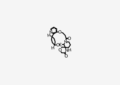 O=C1COCC2(CCCN3C(=O)CCOc4cccnc4[C@H]4CC[C@H](CC4)OCC32)N1